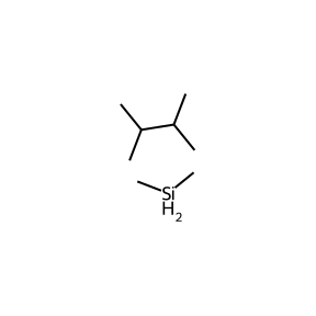 CC(C)C(C)C.C[SiH2]C